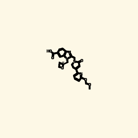 COCOc1cccc(C2=CC(=O)N(Cc3nc4ccc(C(=O)O)cc4n3C[C@@H]3CCO3)CC2)n1